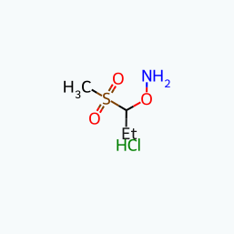 CCC(ON)S(C)(=O)=O.Cl